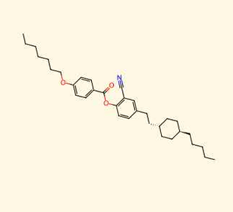 CCCCCCCOc1ccc(C(=O)Oc2ccc(CC[C@H]3CC[C@H](CCCCC)CC3)cc2C#N)cc1